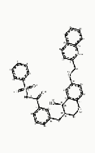 O=C(NS(=O)(=O)c1ccccc1)c1cccc(C[C@@H]2COc3ccc(OCc4ccc5ccccc5n4)cc3[C@@H]2O)c1